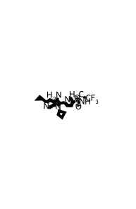 C[C@H](NS(=O)(=O)c1ccc(-c2c(N)c3cc(C4CC4)ncc3n2C2CCC2)nc1)C(F)(F)F